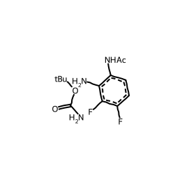 CC(=O)Nc1ccc(F)c(F)c1N.CC(C)(C)OC(N)=O